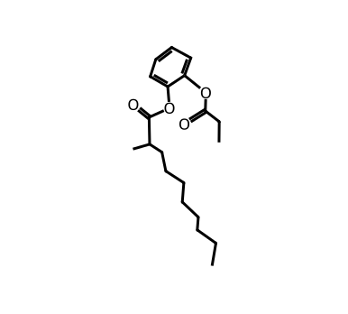 CCCCCCCCC(C)C(=O)Oc1ccccc1OC(=O)CC